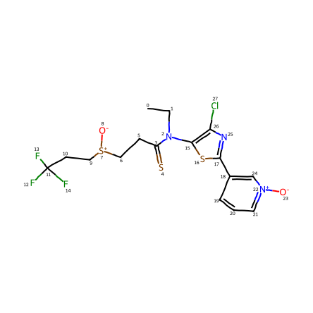 CCN(C(=S)CC[S+]([O-])CCC(F)(F)F)c1sc(-c2ccc[n+]([O-])c2)nc1Cl